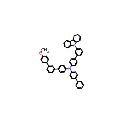 COc1ccc(-c2cccc(-c3ccc(N(c4ccc(-c5ccccc5)cc4)c4ccc(-c5cccc(-n6c7c(c8ccccc86)CCC=C7)c5)cc4)cc3)c2)cc1